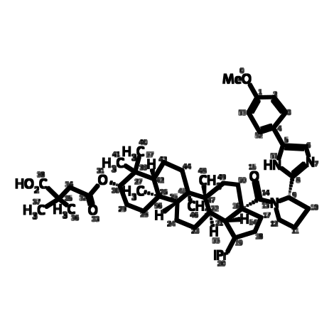 COc1ccc(-c2cnc([C@@H]3CCCN3C(=O)[C@]34CCC(C(C)C)[C@@H]3[C@H]3CC[C@@H]5[C@@]6(C)CC[C@H](OC(=O)CC(C)(C)C(=O)O)C(C)(C)[C@@H]6CC[C@@]5(C)[C@]3(C)CC4)[nH]2)cc1